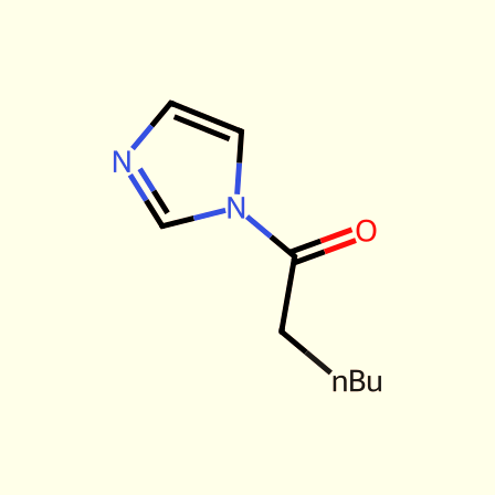 CCCCCC(=O)n1ccnc1